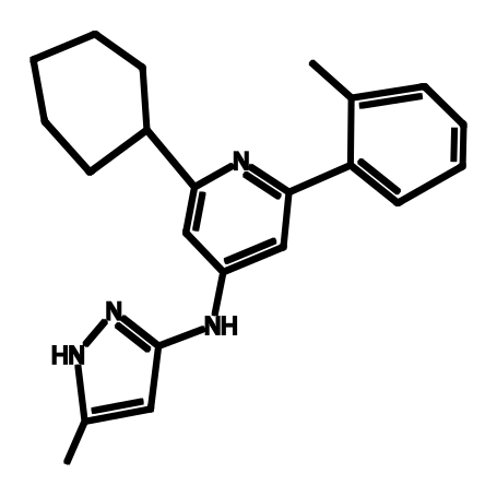 Cc1cc(Nc2cc(-c3ccccc3C)nc(C3CCCCC3)c2)n[nH]1